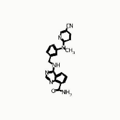 CN(c1cccc(CNc2ncnc3c(C(N)=O)cccc23)c1)c1ccc(C#N)cn1